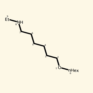 CCCCCCOCCCCCCNCC